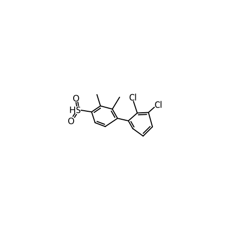 Cc1c(-c2cccc(Cl)c2Cl)ccc([SH](=O)=O)c1C